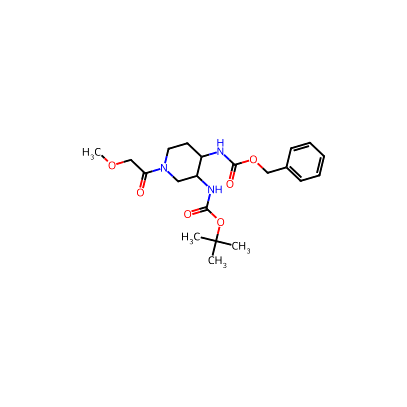 COCC(=O)N1CCC(NC(=O)OCc2ccccc2)C(NC(=O)OC(C)(C)C)C1